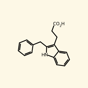 O=C(O)CCc1c(Cc2ccccc2)[nH]c2ccccc12